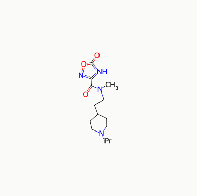 CC(C)N1CCC(CCN(C)C(=O)c2noc(=O)[nH]2)CC1